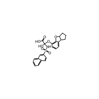 O=C(O)C(O)(NS(=O)(=O)c1ccc2ccccc2c1)Oc1cccc2c1OC1CCCC21